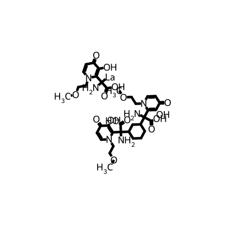 COCCn1ccc(=O)c(O)c1C(N)(C(=O)O)C1CCCC(C(N)(C(=O)O)c2c(O)c(=O)ccn2CCOC)C1.COCCn1ccc(=O)c(O)c1[C](N)([La])C(=O)O